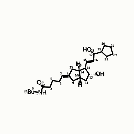 CCCCNC(=O)CCC/C=C1\C[C@H]2C[C@@H](O)[C@H](/C=C/[C@@H](O)C3CCCC3)[C@H]2C1